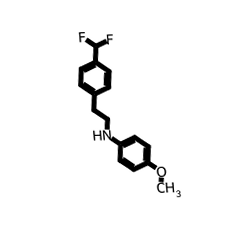 COc1ccc(NCCc2ccc(C(F)F)cc2)cc1